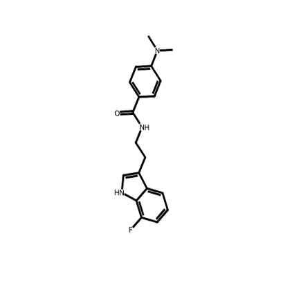 CN(C)c1ccc(C(=O)NCCc2c[nH]c3c(F)cccc23)cc1